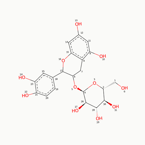 OC[C@H]1O[C@H](OC2Cc3c(O)cc(O)cc3OC2c2ccc(O)c(O)c2)[C@H](O)[C@@H](O)[C@@H]1O